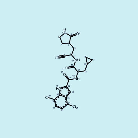 N#CC(CC1CCNC1=O)NC(=O)C(CC1CC1)NC(=O)c1cc2c(Cl)ccc(Cl)c2[nH]1